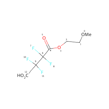 COCCOC(=O)C(F)(F)C(F)(F)C(=O)O